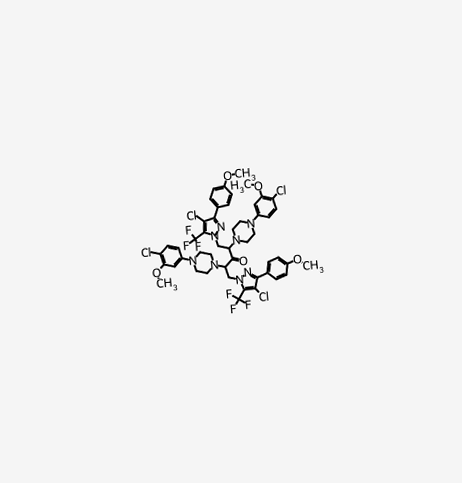 COc1ccc(-c2nn(CC(C(=O)C(Cn3nc(-c4ccc(OC)cc4)c(Cl)c3C(F)(F)F)N3CCN(c4ccc(Cl)c(OC)c4)CC3)N3CCN(c4ccc(Cl)c(OC)c4)CC3)c(C(F)(F)F)c2Cl)cc1